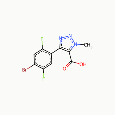 Cn1nnc(-c2cc(F)c(Br)cc2F)c1C(=O)O